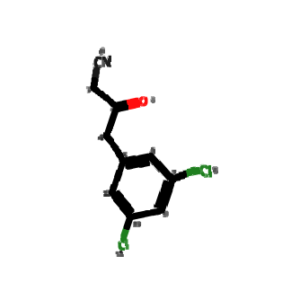 N#CCC(=O)Cc1cc(Cl)cc(Cl)c1